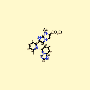 CCOC(=O)C1Cn2c(nc(-c3cccc(C)n3)c2-c2ccc3ncnn3c2)N1C(C)=O